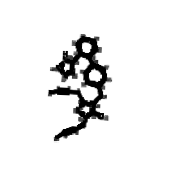 CC#CCc1nn(CC#CC)c(=O)n1Cc1ccc(-c2ccccc2-c2nnn[nH]2)cc1